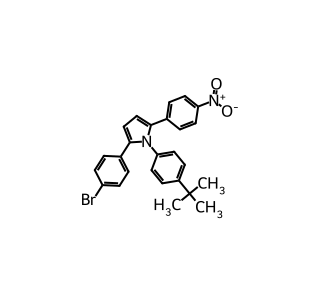 CC(C)(C)c1ccc(-n2c(-c3ccc(Br)cc3)ccc2-c2ccc([N+](=O)[O-])cc2)cc1